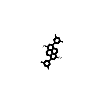 Cc1cc(C)cc(-c2cc(Br)c3ccc4c(-c5cc(C)cc(C)c5)cc(Br)c5ccc2c3c54)c1